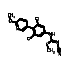 COc1ccc(-c2c(Cl)cc(N/C(=N/C#N)SC)cc2Cl)cn1